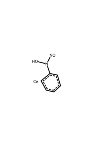 O=NN(O)c1ccccc1.[Ce]